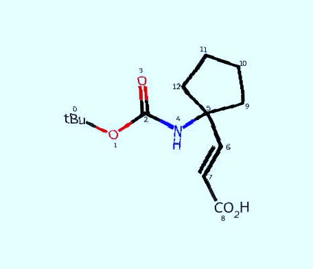 CC(C)(C)OC(=O)NC1(/C=C/C(=O)O)CCCC1